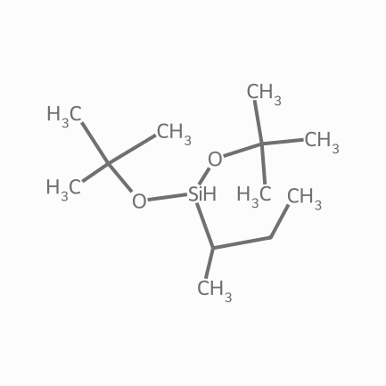 CCC(C)[SiH](OC(C)(C)C)OC(C)(C)C